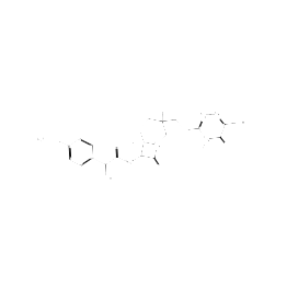 CCCn1c(SCC2(C(=O)O)CS[C@@H]3C(NC(=O)C(O)c4ccc(OC)cc4)C(=O)N3C2)nnc(O)c1=O